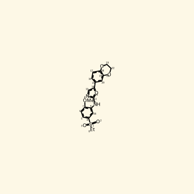 CCS(=O)(=O)c1ccc(OC)c(Nc2ncc(-c3ccc4c(c3)OCCO4)o2)c1